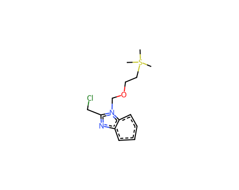 CS(C)(C)CCOCn1c(CCl)nc2ccccc21